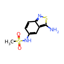 CS(=O)(=O)Nc1ccc2nsc(N)c2c1